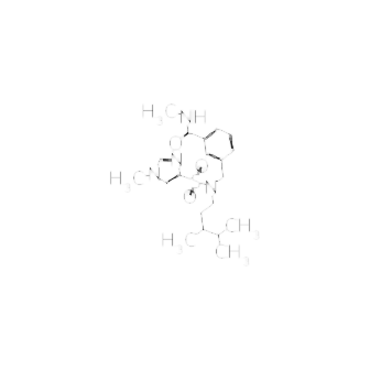 CNC(=O)c1cccc(CN(CCC(C)C(C)C)S(=O)(=O)c2cn(C)cn2)c1